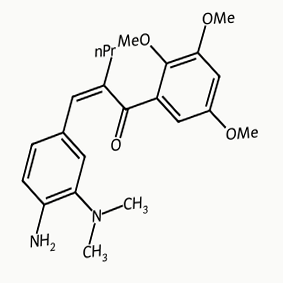 CCCC(=Cc1ccc(N)c(N(C)C)c1)C(=O)c1cc(OC)cc(OC)c1OC